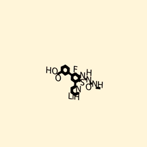 CCNC(=O)Nc1nc2c(F)c(-c3cccc(C(=O)O)c3)cc(-c3ccccn3)c2s1.[LiH]